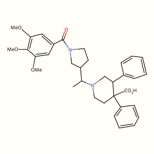 COc1cc(C(=O)N2CCC(C(C)N3CCC(C(=O)O)(c4ccccc4)C(c4ccccc4)C3)C2)cc(OC)c1OC